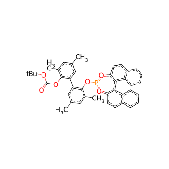 Cc1cc(C)c(OC(=O)OC(C)(C)C)c(-c2cc(C)cc(C)c2Op2oc3ccc4ccccc4c3c3c(ccc4ccccc43)o2)c1